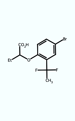 CCC(Oc1ccc(Br)cc1C(C)(F)F)C(=O)O